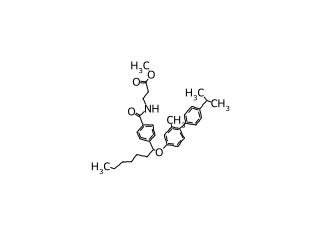 CCCCCCC(Oc1ccc(-c2ccc(C(C)C)cc2)c(C)c1)c1ccc(C(=O)NCCC(=O)OC)cc1